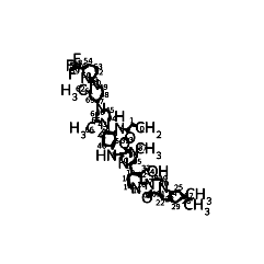 C=CC(=O)Nc1cc(Nc2nc(-c3ccnc(N4CCn5c(cc6c5CC(C)(C)C6)C4=O)c3CO)cn(C)c2=O)ccc1N1CCN(C2CCN(c3cccc(C(F)(F)F)n3)[C@H](C)C2)C[C@@H]1C